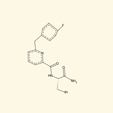 CC(C)C[C@H](NC(=O)c1cccc(Cc2ccc(F)cc2)n1)C(N)=O